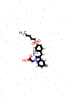 CCCCCS(=O)(=O)c1ccc(Cc2c(C)n(CC(=O)O)c3ccc(F)cc23)cc1